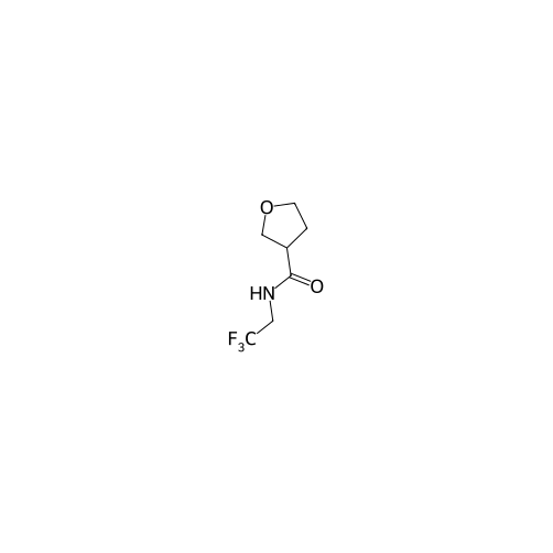 O=C(NCC(F)(F)F)C1CCOC1